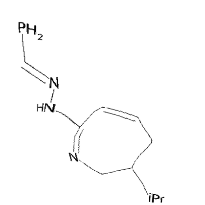 CC(C)C1CC=CC(N/N=C/P)=NC1